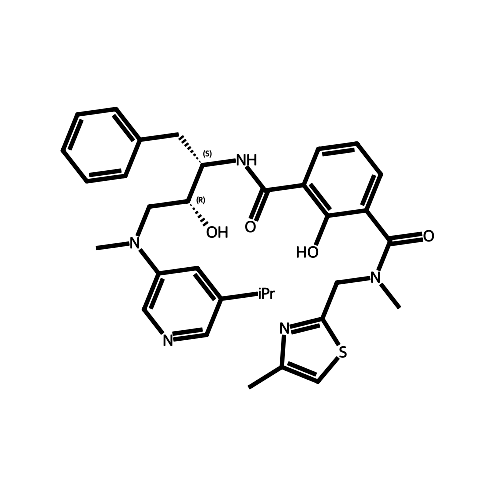 Cc1csc(CN(C)C(=O)c2cccc(C(=O)N[C@@H](Cc3ccccc3)[C@H](O)CN(C)c3cncc(C(C)C)c3)c2O)n1